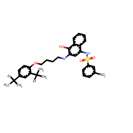 CCC(C)(C)c1ccc(OCCCC[N]c2cc(NS(=O)(=O)c3cccc([N+](=O)[O-])c3)c3ccccc3c2O)c(C(C)(C)CC)c1